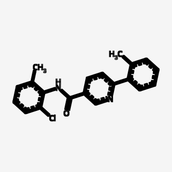 Cc1ccccc1-c1ccc(C(=O)Nc2c(C)cccc2Cl)cn1